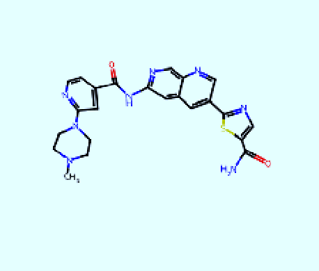 CN1CCN(c2cc(C(=O)Nc3cc4cc(-c5ncc(C(N)=O)s5)cnc4cn3)ccn2)CC1